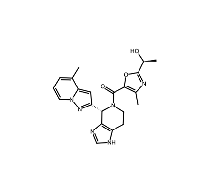 Cc1nc([C@H](C)O)oc1C(=O)N1CCc2[nH]cnc2[C@@H]1c1cc2c(C)cccn2n1